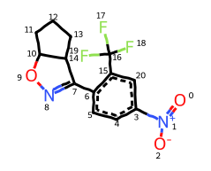 O=[N+]([O-])c1ccc(C2=NOC3CCCC23)c(C(F)(F)F)c1